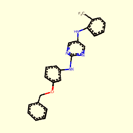 FC(F)(F)c1ccccc1Nc1cnc(Nc2cccc(OCc3ccccc3)c2)nc1